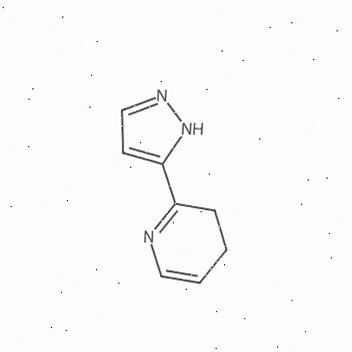 C1=CN=C(c2ccn[nH]2)CC1